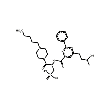 CC(O)CCc1cc(C(=O)N[C@@H](CP(=O)(O)O)C(=O)N2CCN(CCCCC(=O)O)CC2)nc(-c2ccccc2)n1